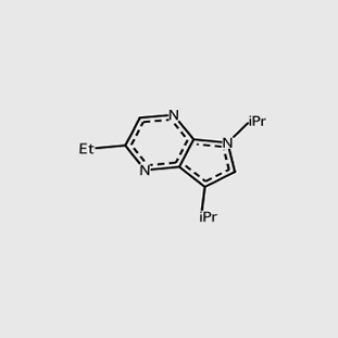 CCc1cnc2c(n1)c(C(C)C)cn2C(C)C